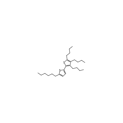 CCCCCCc1ccc(-c2sc(CCCC)c(CCCC)c2CCCC)s1